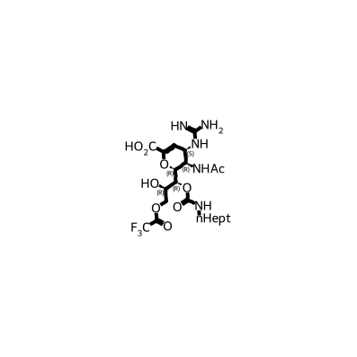 CCCCCCCNC(=O)O[C@@H]([C@@H]1OC(C(=O)O)=C[C@H](NC(=N)N)[C@H]1NC(C)=O)[C@H](O)COC(=O)C(F)(F)F